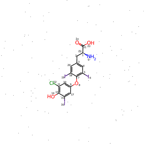 N[C@@H](Cc1cc(I)c(Oc2cc(Cl)c(O)c(I)c2)c(I)c1)C(=O)O